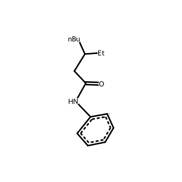 CCCCC(CC)CC(=O)Nc1[c]cccc1